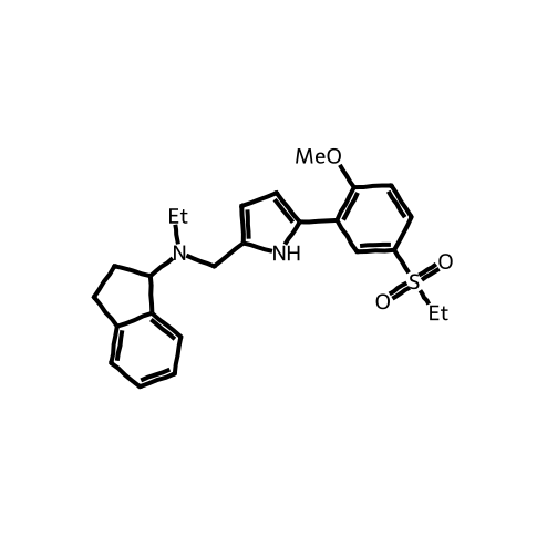 CCN(Cc1ccc(-c2cc(S(=O)(=O)CC)ccc2OC)[nH]1)C1CCc2ccccc21